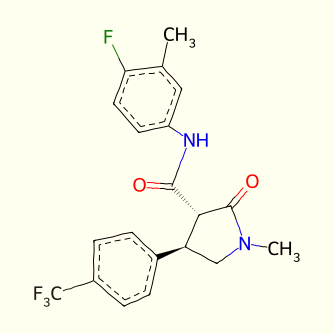 Cc1cc(NC(=O)[C@@H]2C(=O)N(C)C[C@H]2c2ccc(C(F)(F)F)cc2)ccc1F